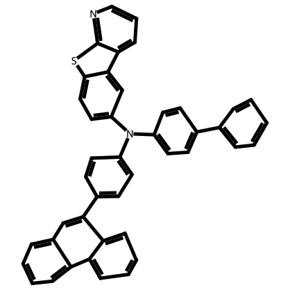 c1ccc(-c2ccc(N(c3ccc(-c4cc5ccccc5c5ccccc45)cc3)c3ccc4sc5ncccc5c4c3)cc2)cc1